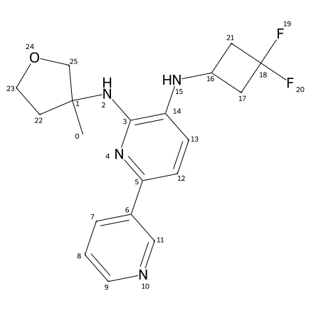 CC1(Nc2nc(-c3cccnc3)ccc2NC2CC(F)(F)C2)CCOC1